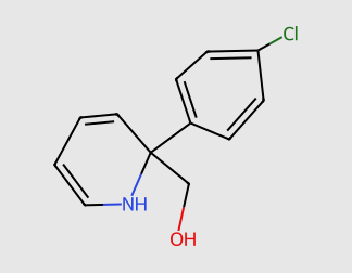 OCC1(c2ccc(Cl)cc2)C=CC=CN1